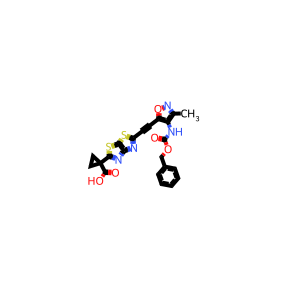 Cc1noc(C#Cc2nc3nc(C4(C(=O)O)CC4)sc3s2)c1NC(=O)OCc1ccccc1